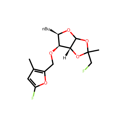 CCCC[C@H]1OC2OC(C)(CF)O[C@@H]2[C@H]1OCc1oc(F)cc1C